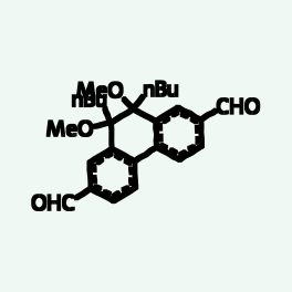 CCCCC1(OC)c2cc(C=O)ccc2-c2ccc(C=O)cc2C1(CCCC)OC